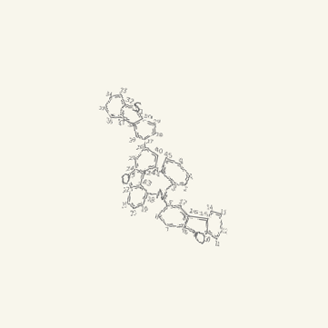 c1ccc(N(c2ccc3oc4ccccc4c3c2)c2cccc3oc4cc(-c5ccc6sc7ccccc7c6c5)ccc4c23)cc1